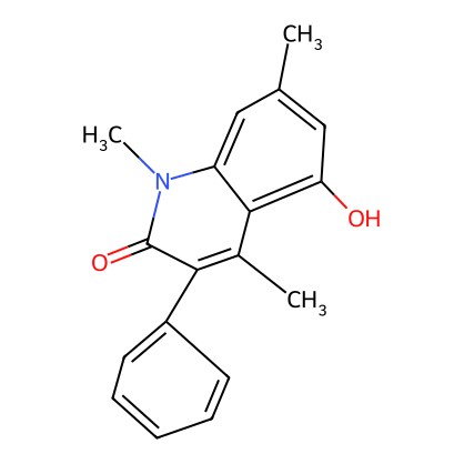 Cc1cc(O)c2c(C)c(-c3ccccc3)c(=O)n(C)c2c1